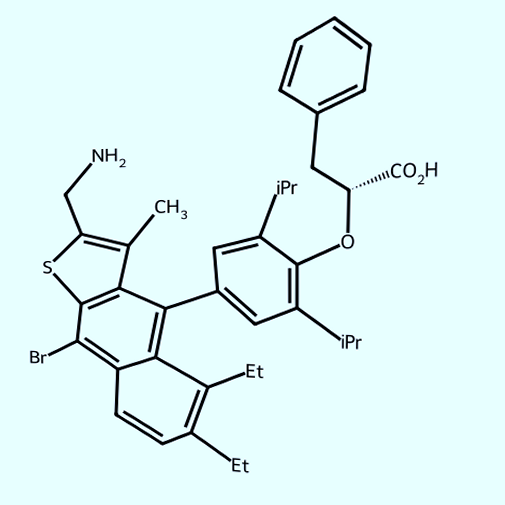 CCc1ccc2c(Br)c3sc(CN)c(C)c3c(-c3cc(C(C)C)c(O[C@H](Cc4ccccc4)C(=O)O)c(C(C)C)c3)c2c1CC